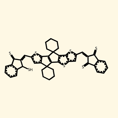 S=C1C(=Cc2cc3sc4c(c3s2)C2(CCCCC2)C2=C4C3(CCCCC3)c3cc(/C=C4/C(=S)c5ccccc5C4S)sc32)C(=S)c2ccccc21